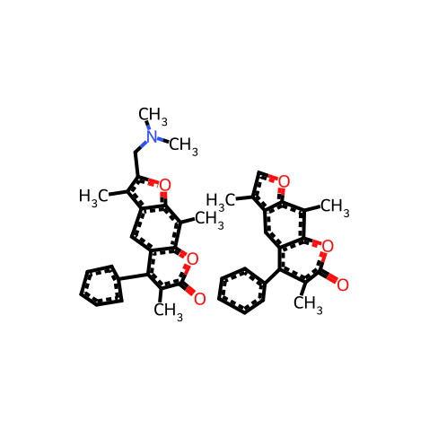 Cc1c(-c2ccccc2)c2cc3c(C)c(CN(C)C)oc3c(C)c2oc1=O.Cc1c(-c2ccccc2)c2cc3c(C)coc3c(C)c2oc1=O